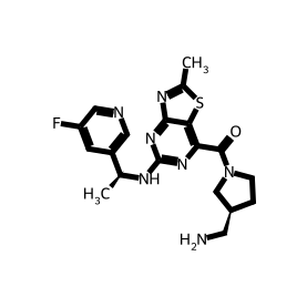 Cc1nc2nc(N[C@@H](C)c3cncc(F)c3)nc(C(=O)N3CC[C@@H](CN)C3)c2s1